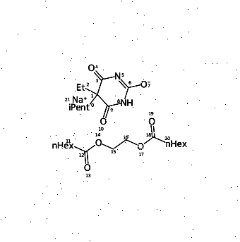 CCCC(C)C1(CC)C(=O)N=C([O-])NC1=O.CCCCCCC(=O)OCCOC(=O)CCCCCC.[Na+]